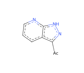 CC(=O)c1n[nH]c2ncccc12